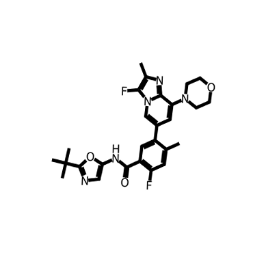 Cc1cc(F)c(C(=O)Nc2cnc(C(C)(C)C)o2)cc1-c1cc(N2CCOCC2)c2nc(C)c(F)n2c1